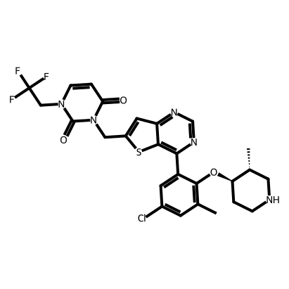 Cc1cc(Cl)cc(-c2ncnc3cc(Cn4c(=O)ccn(CC(F)(F)F)c4=O)sc23)c1O[C@@H]1CCNC[C@H]1C